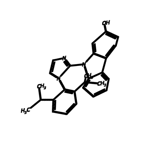 CC(C)c1cccc(C(C)C)c1-n1ccnc1-n1c2ccccc2c2ccc(O)cc21